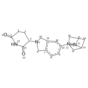 O=C1CCC(N2Cc3ccc(N4CC5CC(C4)N5)cc3C2)C(=O)N1